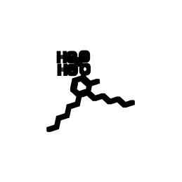 CCCCCCc1ccc(OP(=O)(O)O)c(C)c1CCCCCC